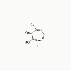 Cc1cccc(Cl)c(=O)c1O